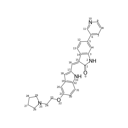 O=C1Nc2cc(-c3cccnc3)ccc2C1=Cc1cc2cc(OCCN3CCCC3)ccc2[nH]1